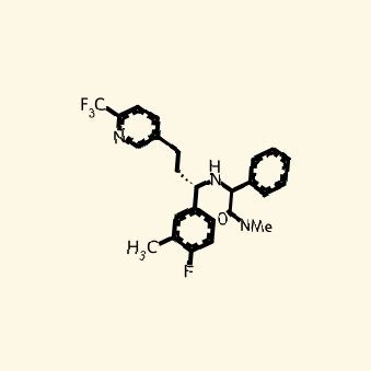 CNC(=O)C(N[C@@H](CCc1ccc(C(F)(F)F)nc1)c1ccc(F)c(C)c1)c1ccccc1